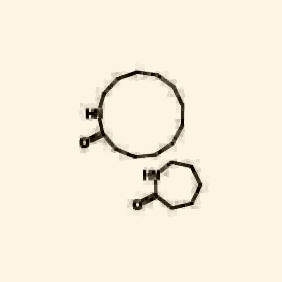 O=C1CCCCCCCCCCCN1.O=C1CCCCCN1